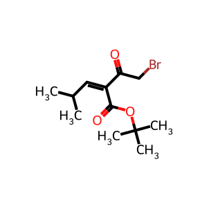 CC(C)/C=C(/C(=O)CBr)C(=O)OC(C)(C)C